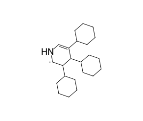 [CH]1NC=C(C2CCCCC2)C(C2CCCCC2)C1C1CCCCC1